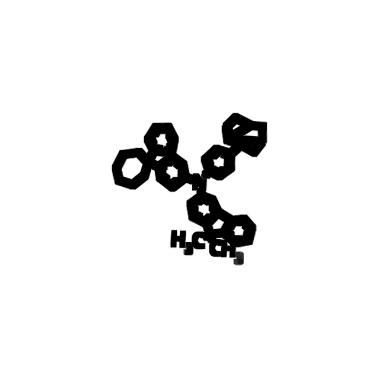 CC1(C)c2ccccc2-c2cc(N(c3ccc(C45CC6CC(CC(C6)C4)C5)cc3)c3ccc(C4(c5ccccc5)CCCCCC4)cc3)ccc21